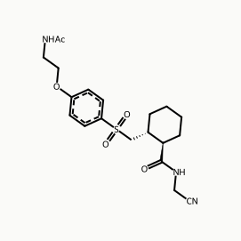 CC(=O)NCCOc1ccc(S(=O)(=O)C[C@@H]2CCCC[C@H]2C(=O)NCC#N)cc1